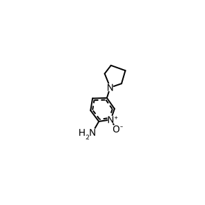 Nc1ccc(N2CCCC2)c[n+]1[O-]